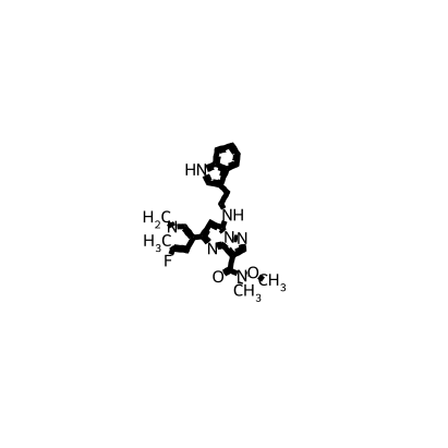 C=N/C=C(\C=C(/C)F)c1cc(NCCc2c[nH]c3ccccc23)n2ncc(C(=O)N(C)OC)c2n1